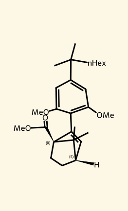 CCCCCCC(C)(C)c1cc(OC)c(C2=C[C@@H]3CC[C@@]2(C(=O)OC)C3(C)C)c(OC)c1